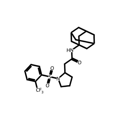 O=C(CC1CCCN1S(=O)(=O)c1ccccc1C(F)(F)F)NC12CC3CC(CC(C3)C1)C2